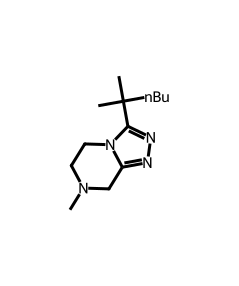 CCCCC(C)(C)c1nnc2n1CCN(C)C2